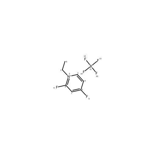 CC[n+]1ccc(F)cc1F.F[B-](F)(F)F